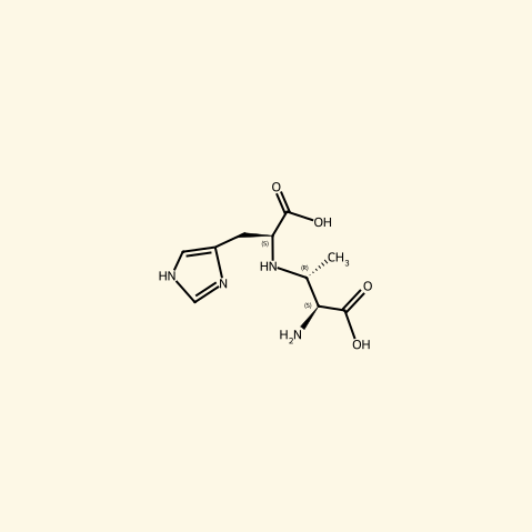 C[C@@H](N[C@@H](Cc1c[nH]cn1)C(=O)O)[C@H](N)C(=O)O